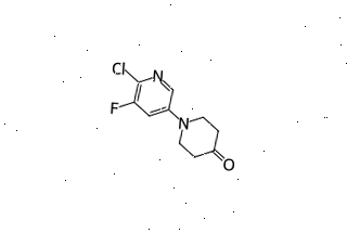 O=C1CCN(c2cnc(Cl)c(F)c2)CC1